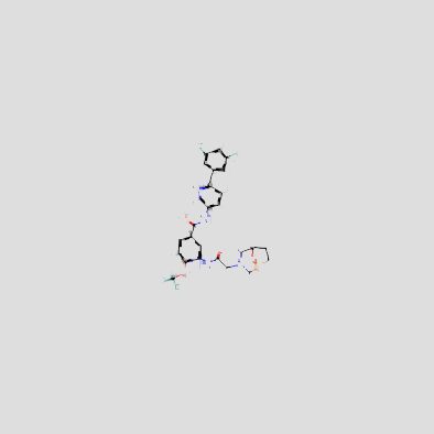 O=C(CN1CC2CCP(C1)O2)Nc1cc(C(=O)Nc2ccc(-c3cc(F)cc(F)c3)nc2)ccc1OC(F)(F)F